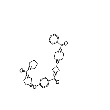 O=C(c1ccccc1)N1CCN(C2CN(C(=O)c3ccc(O[C@H]4CCN(C(=O)N5CCCC5)C4)cc3)C2)CC1